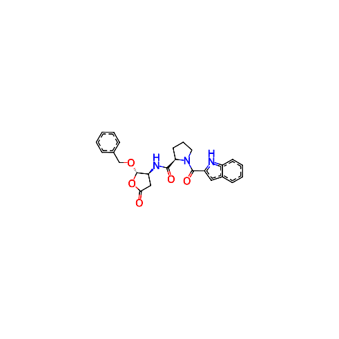 O=C1C[C@H](NC(=O)[C@H]2CCCN2C(=O)c2cc3ccccc3[nH]2)[C@@H](OCc2ccccc2)O1